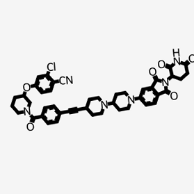 N#Cc1ccc(OC2CCCN(C(=O)c3ccc(C#CC4CCN(C5CCN(c6ccc7c(c6)C(=O)N(C6CCC(=O)NC6=O)C7=O)CC5)CC4)cc3)C2)cc1Cl